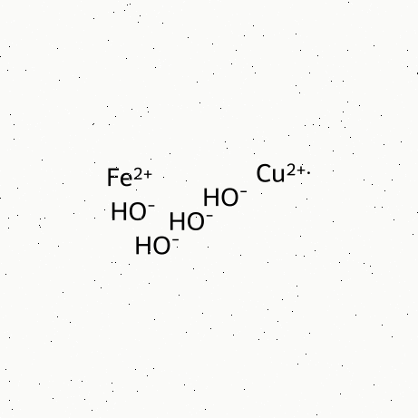 [Cu+2].[Fe+2].[OH-].[OH-].[OH-].[OH-]